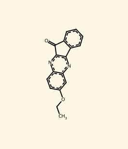 CCOc1ccc2nc3c(nc2c1)-c1ccccc1C3=O